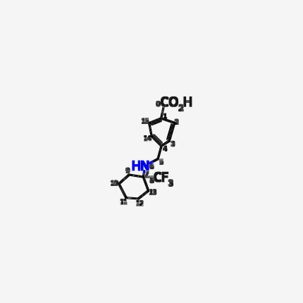 O=C(O)c1ccc(CNC2(C(F)(F)F)CCCCC2)cc1